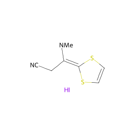 CNC(CC#N)=C1SC=CS1.I